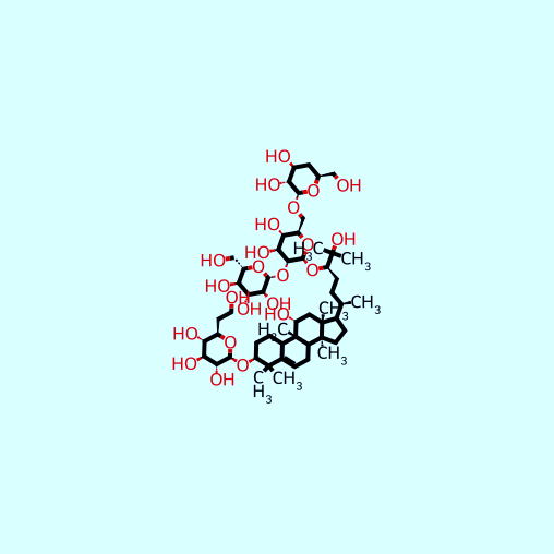 C[C@H](CC[C@@H](O[C@@H]1O[C@H](CO[C@H]2O[C@H](CO)C[C@H](O)[C@H]2O)[C@@H](O)[C@H](O)[C@H]1O[C@H]1O[C@@H](CO)[C@H](O)[C@@H](O)[C@@H]1O)C(C)(C)O)C1CC[C@@]2(C)C3CC=C4C(CC[C@H](O[C@@H]5O[C@H](CCO)[C@@H](O)[C@H](O)[C@H]5O)C4(C)C)[C@]3(C)[C@H](O)C[C@]12C